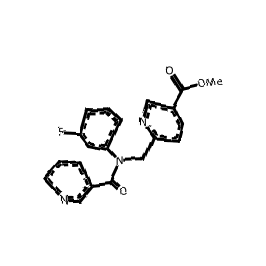 COC(=O)c1ccc(CN(C(=O)c2cccnc2)c2cccc(F)c2)nc1